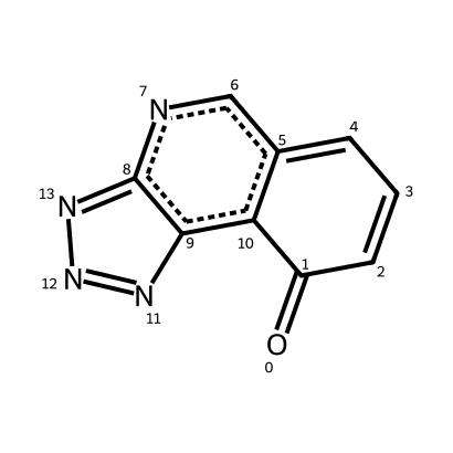 O=C1C=CC=c2cnc3c(c21)N=NN=3